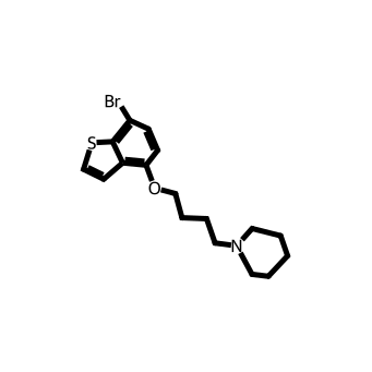 Brc1ccc(OCCCCN2CCCCC2)c2ccsc12